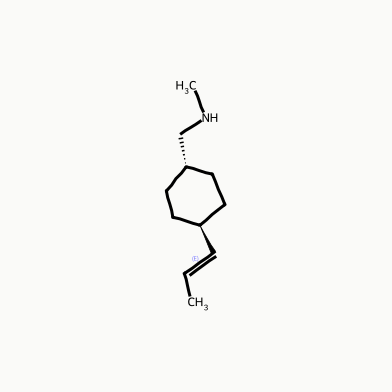 C/C=C/[C@H]1CC[C@H](CNC)CC1